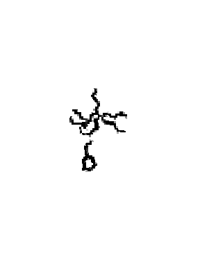 CCC[CH2][Sn](/[CH]=C/[C@H](CCc1ccccc1)O[Si](CC)(CC)CC)([CH2]CCC)[CH2]CCC